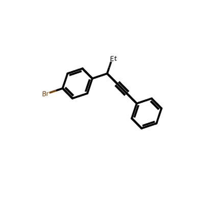 CCC(C#Cc1ccccc1)c1ccc(Br)cc1